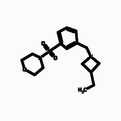 CCC1CN(Cc2cccc(S(=O)(=O)N3CCOCC3)c2)C1